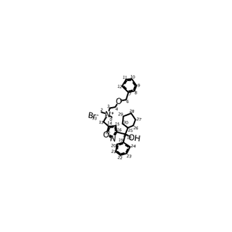 C[N+](C)(CCOCc1ccccc1)Cc1cc(C(O)(c2ccccc2)C2CCCCC2)no1.[Br-]